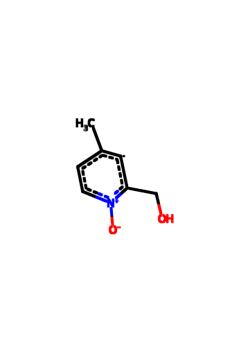 Cc1[c]c(CO)[n+]([O-])cc1